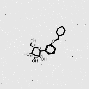 OC[C@H]1OC(c2cccc(OCC3CCCCC3)c2)[C@@H](O)[C@@H](O)[C@@H]1O